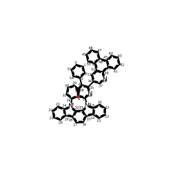 c1ccc(-c2ccc(-n3c4ccccc4c4ccc5c6ccccc6n(-c6ccccc6)c5c43)nc2-c2cnc3c4ccccc4c4ccccc4c3c2)cc1